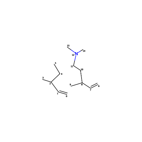 C=CC(C)CC.C=CC(C)CCN(C)C